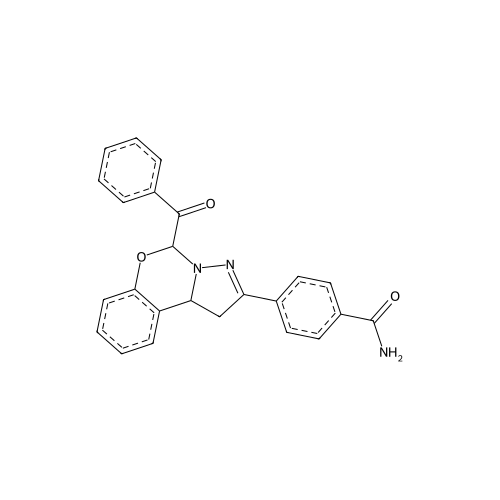 NC(=O)c1ccc(C2=NN3C(C(=O)c4ccccc4)Oc4ccccc4C3C2)cc1